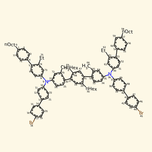 CCCCCCCCc1ccc(-c2ccc(N(c3ccc(-c4ccc(Br)cc4)cc3)c3ccc(-c4cc(CCCCCC)c(-c5ccc(N(c6ccc(-c7ccc(Br)cc7)cc6)c6ccc(-c7ccc(CCCCCCCC)cc7)c(CC)c6)cc5C)cc4CCCCCC)c(C)c3)cc2CC)cc1